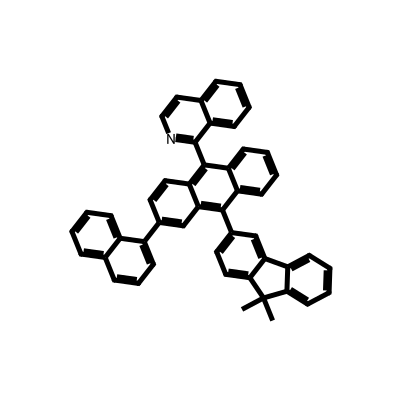 CC1(C)c2ccccc2-c2cc(-c3c4ccccc4c(-c4nccc5ccccc45)c4ccc(-c5cccc6ccccc56)cc34)ccc21